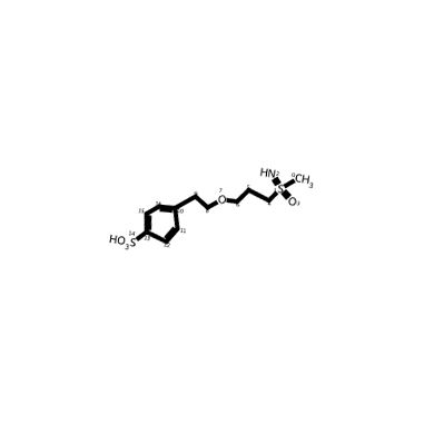 CS(=N)(=O)CCCOCCc1ccc(S(=O)(=O)O)cc1